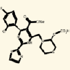 COC(=O)C1=C(CN2CCSC[C@@H]2OC(=O)O)NC(c2nccs2)=N[C@H]1c1ccc(F)cc1Cl